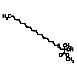 CCCCCCCCCCCCCCCCCSCC(C)(O)C(=O)OC